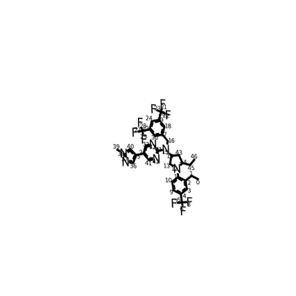 CCc1cc(C(F)(F)F)ccc1N1CC(N(Cc2cc(C(F)(F)F)cc(C(F)(F)F)c2)c2ncc(-c3cnn(C)c3)cn2)CC1CC